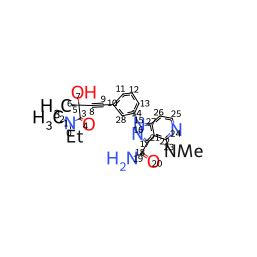 CCN(C)C(=O)[C@](C)(O)C#Cc1cccc(-n2nc(C(N)=O)c3c(NC)nccc32)c1